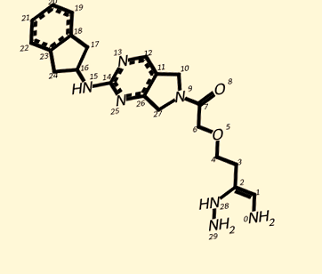 N/C=C(/CCOCC(=O)N1Cc2cnc(NC3Cc4ccccc4C3)nc2C1)NN